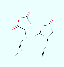 C=CCC1CC(=O)OC1=O.CC=CCC1CC(=O)OC1=O